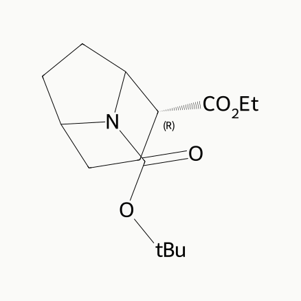 CCOC(=O)[C@@H]1CCC2CCC1N2C(=O)OC(C)(C)C